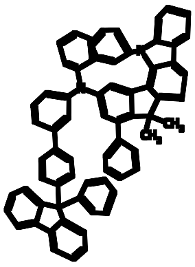 CC1(C)c2ccc3c4ccccc4n(-c4ccccc4)c3c2-c2cc(N(c3ccccc3)c3cccc(-c4ccc(C5(c6ccccc6)c6ccccc6-c6ccccc65)cc4)c3)cc(-c3ccccc3)c21